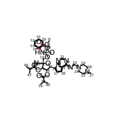 COC(=O)[C@H](C)N[P@](=O)(OC[C@@]1(C#N)O[C@@H](c2ccc3c(/N=C/N4CCN(C)CC4)ncnn23)[C@H](OC(=O)C(C)C)[C@@H]1OC(=O)C(C)C)Oc1ccccc1